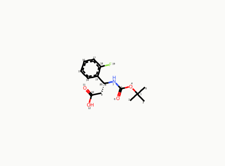 CC(C)(C)OC(=O)N[C@H](CC(=O)O)c1ccccc1F